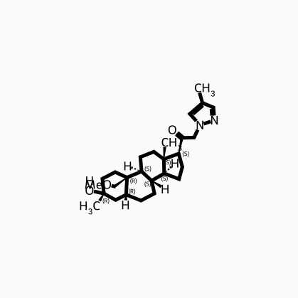 COC[C@]12CC[C@@](C)(O)C[C@H]1CC[C@H]1[C@@H]3CC[C@H](C(=O)Cn4cc(C)cn4)[C@@]3(C)CC[C@@H]12